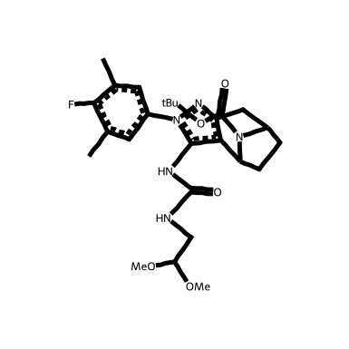 COC(CNC(=O)Nc1c2c(nn1-c1cc(C)c(F)c(C)c1)CC1CCC2N1C(=O)OC(C)(C)C)OC